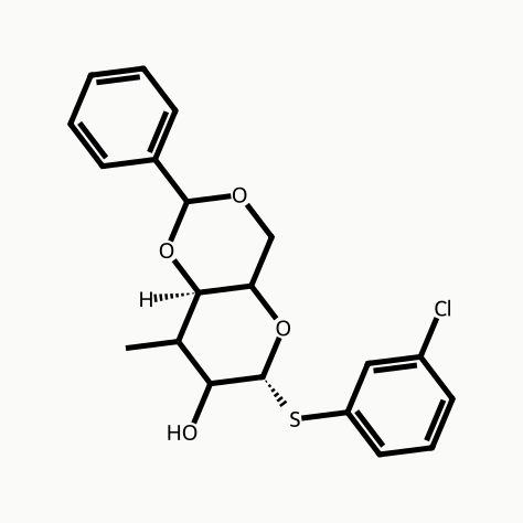 CC1C(O)[C@@H](Sc2cccc(Cl)c2)OC2COC(c3ccccc3)O[C@@H]21